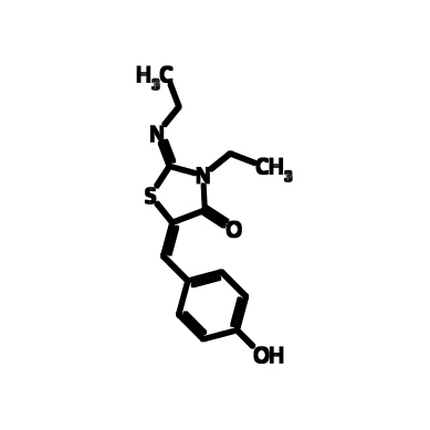 CCN=C1SC(=Cc2ccc(O)cc2)C(=O)N1CC